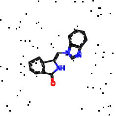 O=C1NC(=Cn2cnc3ccccc32)c2ccccc21